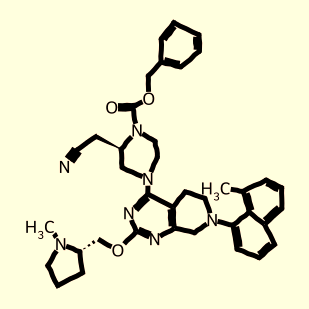 Cc1cccc2cccc(N3CCc4c(nc(OC[C@@H]5CCCN5C)nc4N4CCN(C(=O)OCc5ccccc5)[C@H](CC#N)C4)C3)c12